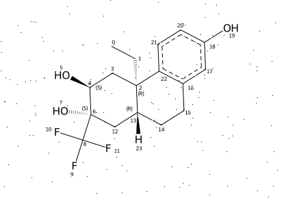 CC[C@@]12C[C@H](O)[C@](O)(C(F)(F)F)C[C@H]1CCc1cc(O)ccc12